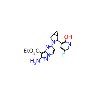 CCOC(=O)c1c(N)nn2ccc(N3CC4CC4C3c3cc(F)cnc3O)nc12